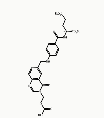 CCOC(=O)CC[C@H](NC(=O)c1ccc(NCc2ccc3ncn(COC(=O)C(C)(C)C)c(=O)c3c2)cc1)C(=O)OCC